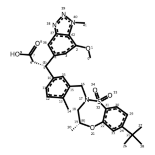 COc1cc([C@@H](CC(=O)O)c2ccc(C)c(CN3C[C@@H](C)Oc4cc(C(C)(C)C)ccc4S3(=O)=O)c2)cc2nnn(C)c12